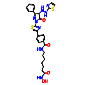 O=C(CCCCCCNC(=O)c1ccc(-c2csc(N3N=C(c4ccccc4)C(NNc4nccs4)C3=O)n2)cc1)NO